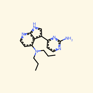 CCCN(CCC)c1ccnc2[nH]cc(-c3ccnc(N)n3)c12